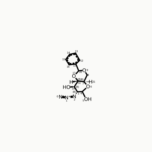 [N-]=[N+]=N[C@H]1C(O)O[C@@H]2COC(c3ccccc3)O[C@H]2[C@@H]1O